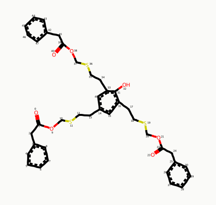 O=C(Cc1ccccc1)OCSCCc1cc(CCSCOC(=O)Cc2ccccc2)c(O)c(CCSCOC(=O)Cc2ccccc2)c1